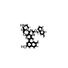 Oc1cc(-c2nc3c4c(nc(OC[C@@]56CCCN5C[C@H](F)C6)nc4c2F)N2CCNC[C@H]2CO3)c2cc(F)ccc2c1